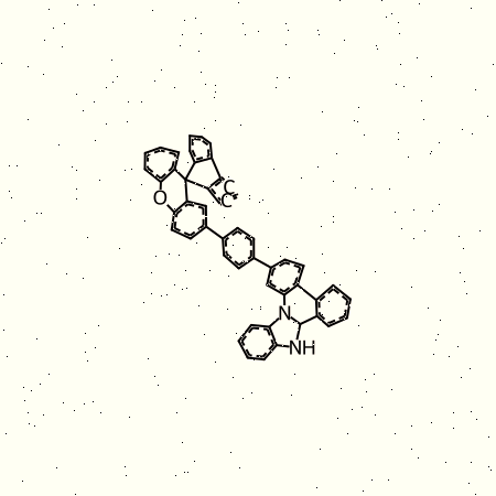 c1ccc2c(c1)NC1c3ccccc3-c3ccc(-c4ccc(-c5ccc6c(c5)C5(c7ccccc7O6)c6ccccc6-c6ccccc65)cc4)cc3N21